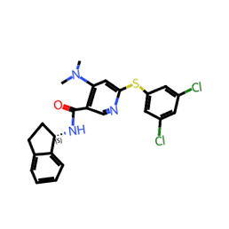 CN(C)c1cc(Sc2cc(Cl)cc(Cl)c2)ncc1C(=O)N[C@H]1CCc2ccccc21